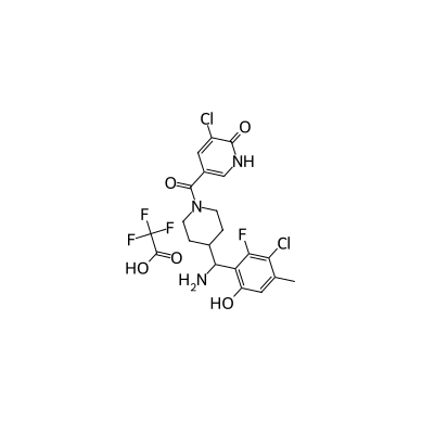 Cc1cc(O)c(C(N)C2CCN(C(=O)c3c[nH]c(=O)c(Cl)c3)CC2)c(F)c1Cl.O=C(O)C(F)(F)F